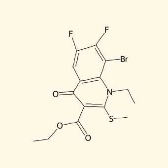 CCOC(=O)c1c(SC)n(CC)c2c(Br)c(F)c(F)cc2c1=O